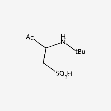 CC(=O)C(CS(=O)(=O)O)NC(C)(C)C